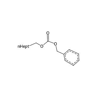 CCCCCCCCOC(=O)OCc1ccccc1